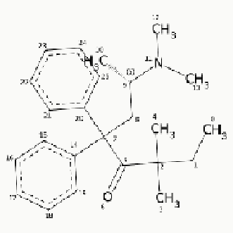 CCC(C)(C)C(=O)C(C[C@H](C)N(C)C)(c1ccccc1)c1ccccc1